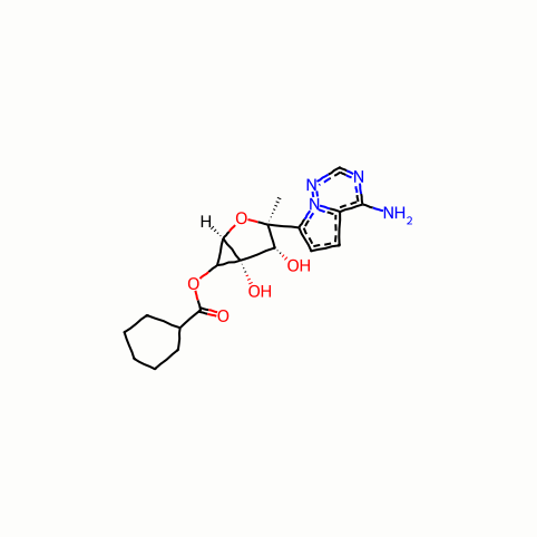 C[C@@]1(c2ccc3c(N)ncnn23)O[C@@H]2C(OC(=O)C3CCCCC3)[C@]2(O)[C@H]1O